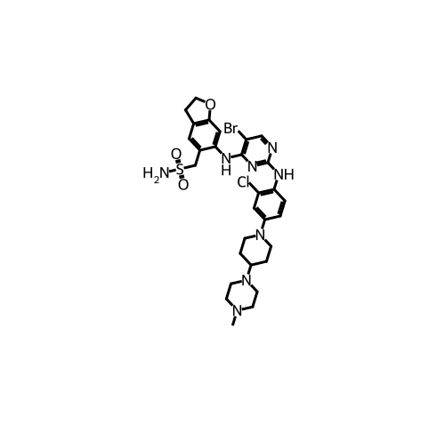 CN1CCN(C2CCN(c3ccc(Nc4ncc(Br)c(Nc5cc6c(cc5CS(N)(=O)=O)CCO6)n4)c(Cl)c3)CC2)CC1